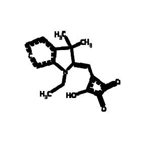 CCN1C(=Cc2c(O)c(=O)c2=O)C(C)(C)c2ccccc21